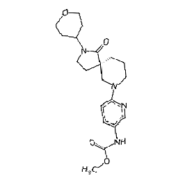 COC(=O)Nc1ccc(N2CCC[C@@]3(CCN(C4CCOCC4)C3=O)C2)nc1